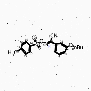 CCCCOc1cccc(/C(C#N)=N/OS(=O)(=O)c2ccc(C)cc2)c1